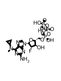 CN(c1nc(N)nc2c1ncn2[C@@H]1O[C@H](COP(=O)(O)OP(=O)(O)OP(=O)(O)O)[C@@H](O)[C@@H]1F)C1CC1